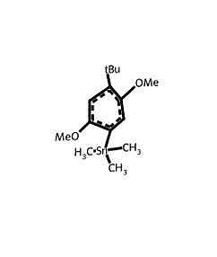 COc1c[c]([Sn]([CH3])([CH3])[CH3])c(OC)cc1C(C)(C)C